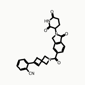 N#Cc1ccccc1C1=CC2(C1)CN(C(=O)c1ccc3c(c1)CN(C1CCC(=O)NC1=O)C3=O)C2